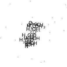 CCC(CCC1(C)[C@@H](C2=CC(=O)OC2)CC[C@@]1(C)O)C1(C)CCC(OC2OC(C)C(O)[C@H](OC3OC(C)C(N=[N+]=[N-])[C@H](O)[C@@H]3O)[C@@H]2O)CC1